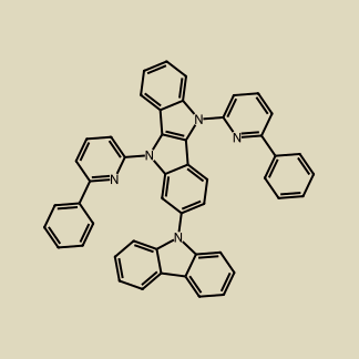 c1ccc(-c2cccc(-n3c4ccccc4c4c3c3ccc(-n5c6ccccc6c6ccccc65)cc3n4-c3cccc(-c4ccccc4)n3)n2)cc1